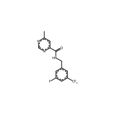 Cc1cc(C(=O)NCc2cc(F)cc(C(F)(F)F)c2)ncn1